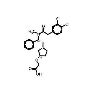 CN(C(=O)Cc1ccc(Cl)c(Cl)c1)[C@H](CN1CC[C@H](OCC(=O)O)C1)c1ccccc1